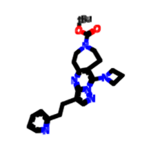 CC(C)(C)OC(=O)N1CCc2nc3c(CCc4ccccn4)cnn3c(N3CCC3)c2CC1